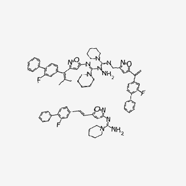 C=C(c1ccc(-c2ccccc2)c(F)c1)c1cc(CN=C(N2CCCCC2)N(N)C(=Nc2cc(C(=C(C)C)c3ccc(-c4ccccc4)c(F)c3)no2)N2CCCCC2)no1.NC(=Nc1cc(C=Cc2ccc(-c3ccccc3)c(F)c2)on1)N1CCCCC1